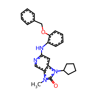 Cn1c(=O)n(C2CCCC2)c2cc(Nc3ccccc3OCc3ccccc3)ncc21